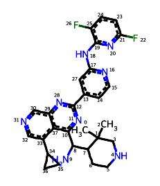 CC1(C)CNCCC1C(N)c1nc(-c2ccnc(Nc3nc(F)ccc3F)c2)nc2cncc(C3CC3)c12